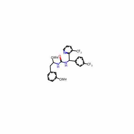 COc1cccc(CC(NC(=O)NC(c2ccc(C(F)(F)F)cc2)c2ncccc2C(F)(F)F)OC)c1